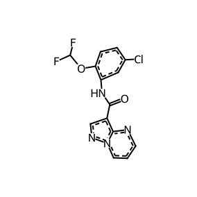 O=C(Nc1cc(Cl)ccc1OC(F)F)c1cnn2cccnc12